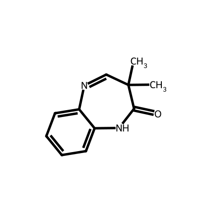 CC1(C)C=Nc2ccccc2NC1=O